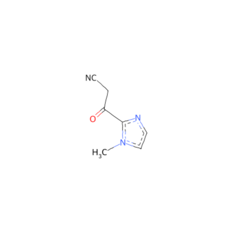 Cn1ccnc1C(=O)CC#N